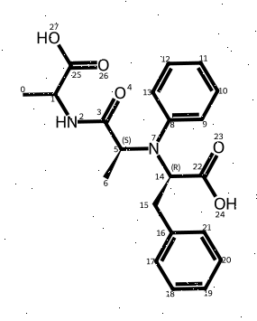 CC(NC(=O)[C@H](C)N(c1ccccc1)[C@H](Cc1ccccc1)C(=O)O)C(=O)O